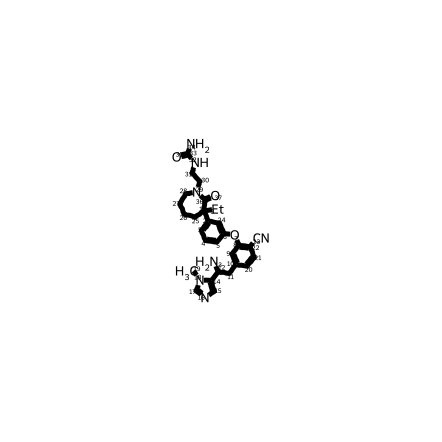 CCC1(c2cccc(Oc3cc(CC(N)c4cncn4C)ccc3C#N)c2)CCCCN(CCNC(N)=O)C1=O